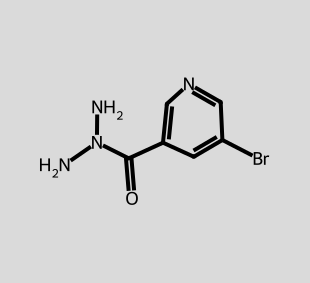 NN(N)C(=O)c1cncc(Br)c1